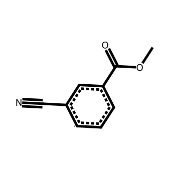 COC(=O)c1cc[c]c(C#N)c1